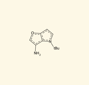 CC(C)(C)n1ccc2occ(N)c21